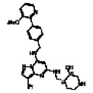 COc1cccnc1-c1ccc(CNc2cc(NC[C@H]3CCNC[C@@H]3O)nc3c(C(C)C)cnn23)cc1